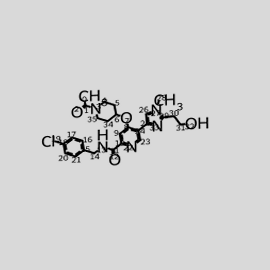 CC(=O)N1CCC(Oc2cc(C(=O)NCc3ccc(Cl)cc3)ncc2-c2cn(C)c(CCO)n2)CC1